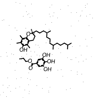 CCCOC(=O)c1cc(O)c(O)c(O)c1.Cc1c(C)c2c(c(C)c1O)CC[C@@](C)(CCCC(C)CCCC(C)CCCC(C)C)O2